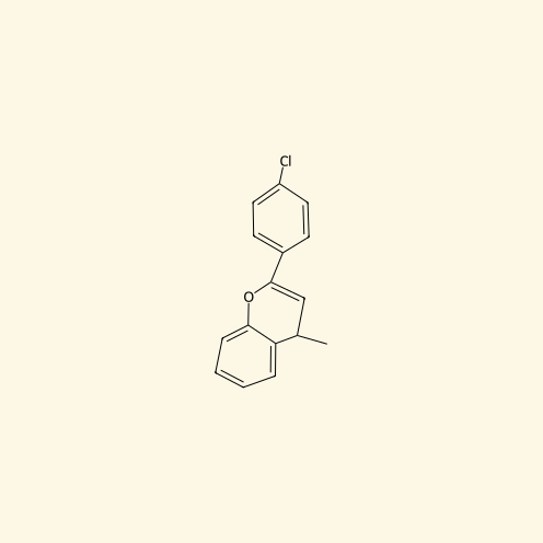 CC1C=C(c2ccc(Cl)cc2)Oc2ccccc21